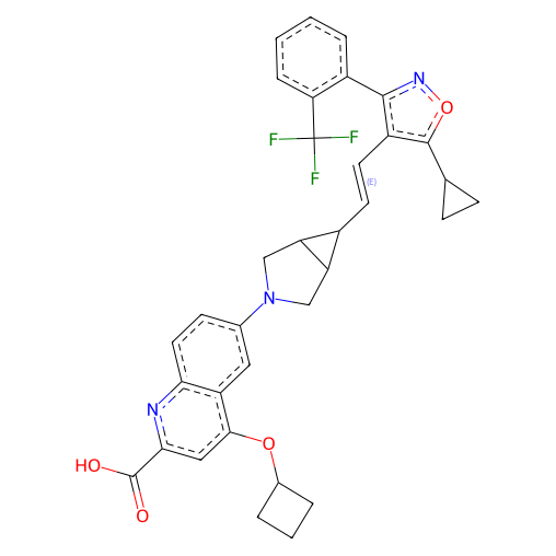 O=C(O)c1cc(OC2CCC2)c2cc(N3CC4C(/C=C/c5c(-c6ccccc6C(F)(F)F)noc5C5CC5)C4C3)ccc2n1